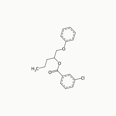 CCCC(COc1ccccc1)OC(=O)c1cccc(Cl)c1